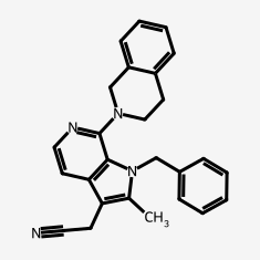 Cc1c(CC#N)c2ccnc(N3CCc4ccccc4C3)c2n1Cc1ccccc1